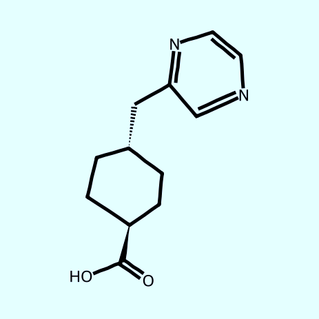 O=C(O)[C@H]1CC[C@H](Cc2cnccn2)CC1